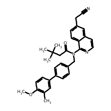 COc1ccc(-c2ccc(CN(C(=O)CC(C)(C)C)c3nccc4cc(CC#N)ccc34)cc2)cc1C